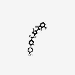 Cn1nc(NC(=O)c2ccc(N3CCC(O)CC3)nc2)cc1-c1nc2c(F)cccc2[nH]1